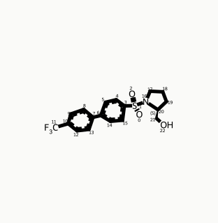 O=S(=O)(c1ccc(-c2c[c]c(C(F)(F)F)cc2)cc1)N1CCC[C@H]1CO